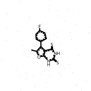 Cc1oc2[nH]c(=S)[nH]c(=S)c2c1-c1ccc(F)cc1